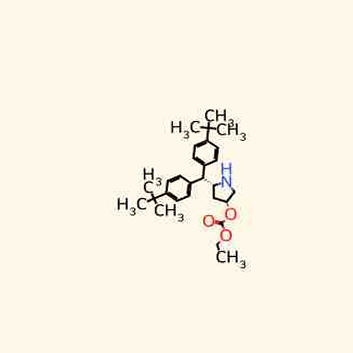 CCOC(=O)O[C@H]1CN[C@@H](C(c2ccc(C(C)(C)C)cc2)c2ccc(C(C)(C)C)cc2)C1